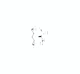 NNC(=O)NN.O=CCCCC=O